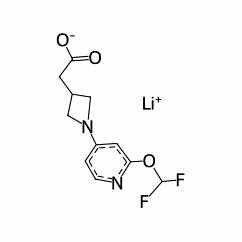 O=C([O-])CC1CN(c2ccnc(OC(F)F)c2)C1.[Li+]